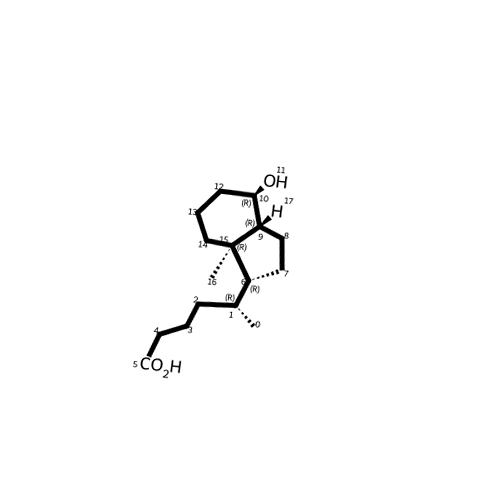 C[C@H](CCCC(=O)O)[C@H]1CC[C@H]2[C@H](O)CCC[C@]12C